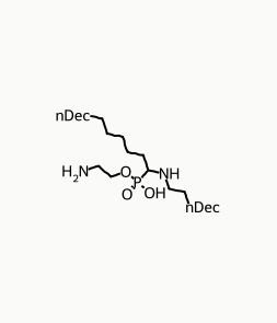 CCCCCCCCCCCCCCCC(NCCCCCCCCCCCC)P(=O)(O)OCCN